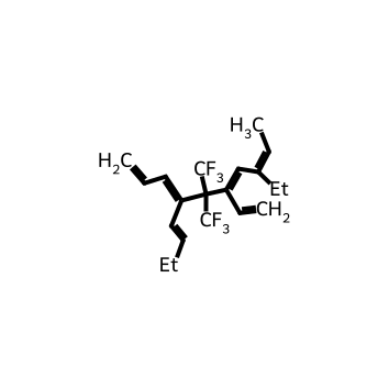 C=C/C=C(\C=C\CC)C(/C(C=C)=C/C(=C\C)CC)(C(F)(F)F)C(F)(F)F